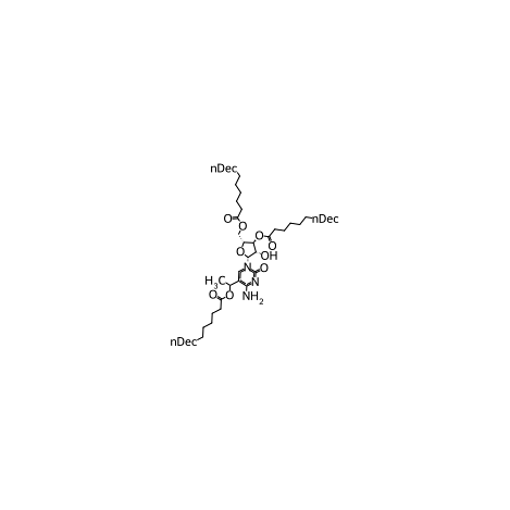 CCCCCCCCCCCCCCCC(=O)OC[C@H]1O[C@@H](n2cc(C(C)OC(=O)CCCCCCCCCCCCCCC)c(N)nc2=O)[C@@H](O)[C@@H]1OC(=O)CCCCCCCCCCCCCCC